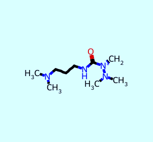 C=[N+](C(=O)NCCCN(C)C)N(C)C